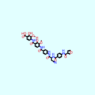 COc1c(NC(=O)c2ccc(NC(=O)c3ccc(NC(=O)C(CC#N)NC(=O)c4ccc(NC(=O)c5ccoc5)cc4)cc3)c(OC)c2O)ccc(C(=O)O)c1O